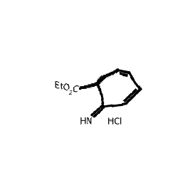 CCOC(=O)C1C=CC=CC1=N.Cl